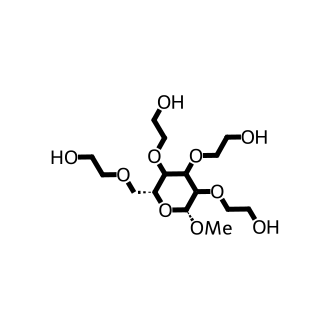 CO[C@@H]1O[C@H](COCCO)C(OCCO)C(OCCO)C1OCCO